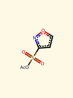 CC(=O)OS(=O)(=O)c1ccon1